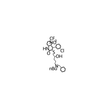 CCCCN(CCCC(O)CSc1c(-c2cc(Cl)ccc2O)c2cc(C(F)(F)F)ccc2[nH]c1=O)Cc1ccccc1